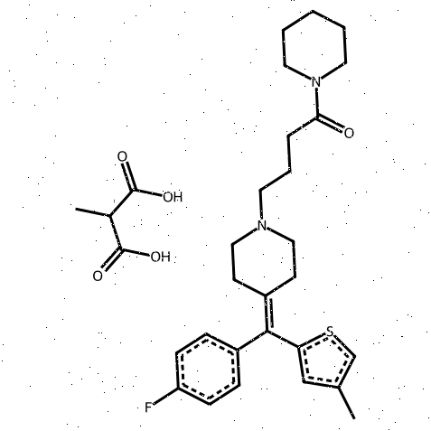 CC(C(=O)O)C(=O)O.Cc1csc(C(=C2CCN(CCCC(=O)N3CCCCC3)CC2)c2ccc(F)cc2)c1